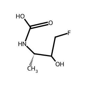 C[C@H](NC(=O)O)C(O)CF